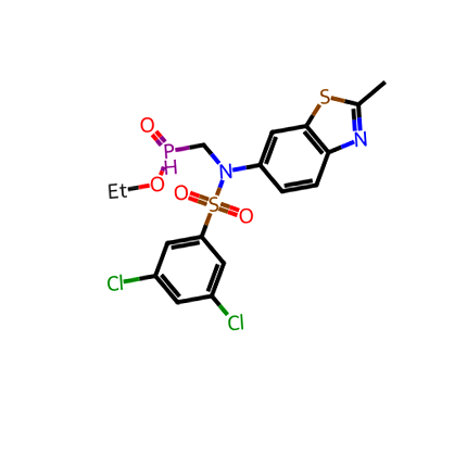 CCO[PH](=O)CN(c1ccc2nc(C)sc2c1)S(=O)(=O)c1cc(Cl)cc(Cl)c1